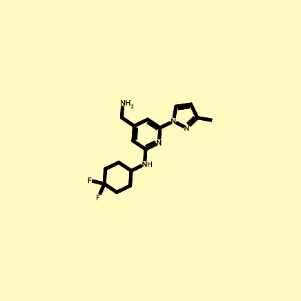 Cc1ccn(-c2cc(CN)cc(NC3CCC(F)(F)CC3)n2)n1